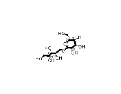 OC[C@@H](O)[C@H](O)[C@@H](O)COC1O[C@H](CO)[C@@H](O)[C@H](O)[C@H]1O